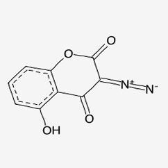 [N-]=[N+]=C1C(=O)Oc2cccc(O)c2C1=O